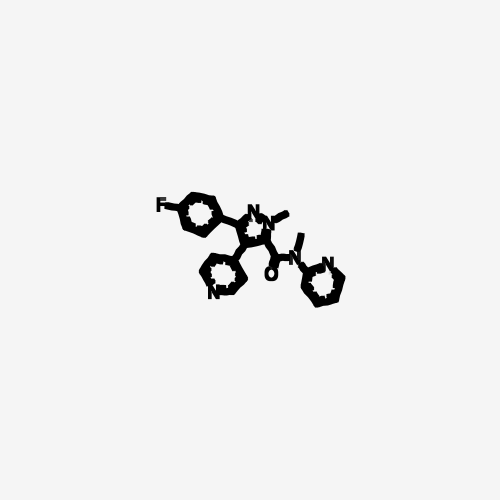 CN(C(=O)c1c(-c2ccncc2)c(-c2ccc(F)cc2)nn1C)c1ccccn1